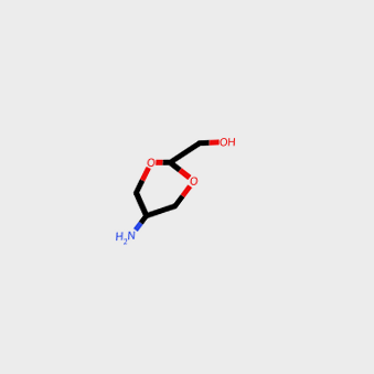 NC1COC(CO)OC1